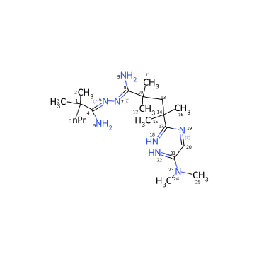 CCCC(C)(C)/C(N)=N/N=C(\N)C(C)(C)CC(C)(C)C(=N)/N=C\C(=N)N(C)C